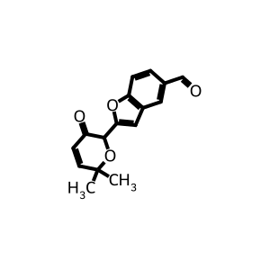 CC1(C)C=CC(=O)C(c2cc3cc(C=O)ccc3o2)O1